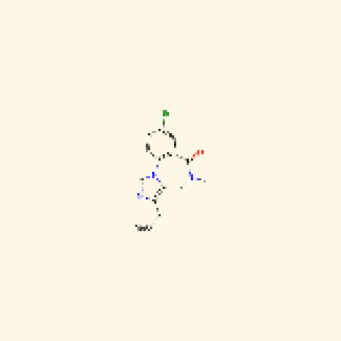 COCc1ncn2c1CN(C)C(=O)c1cc(Br)ccc1-2